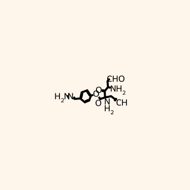 C#CCC(N)(C(=O)Oc1ccc(C=NN)cc1)C(=O)C(N)CC=O